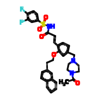 CC(=O)N1CCN(Cc2ccc(/C=C/C(=O)NS(=O)(=O)c3ccc(F)c(F)c3)c(OCCc3ccc4ccccc4c3)c2)CC1